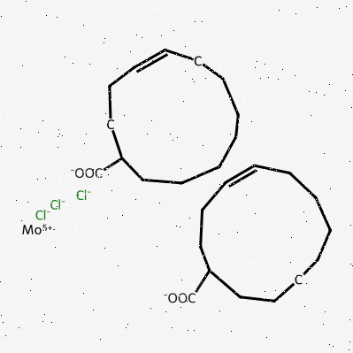 O=C([O-])C1CC/C=C\CCCCCCC1.O=C([O-])C1CC/C=C\CCCCCCC1.[Cl-].[Cl-].[Cl-].[Mo+5]